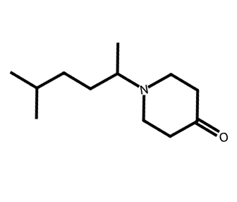 CC(C)CCC(C)N1CCC(=O)CC1